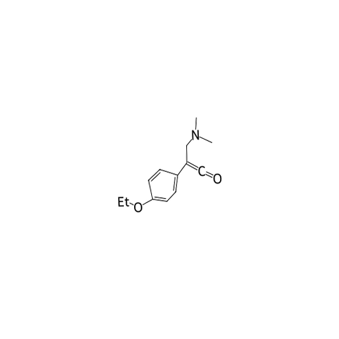 CCOc1ccc(C(=C=O)CN(C)C)cc1